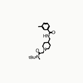 Cc1cccc(C(=O)NCC2CCN(CC(=O)N(C)C(C)(C)C)CC2)c1